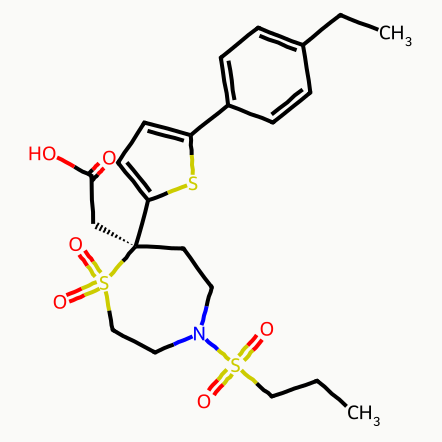 CCCS(=O)(=O)N1CC[C@](CC(=O)O)(c2ccc(-c3ccc(CC)cc3)s2)S(=O)(=O)CC1